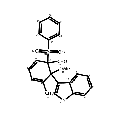 COC1(c2c[nH]c3ccccc23)C(C)=CC=CC1(C=O)S(=O)(=O)c1ccccc1